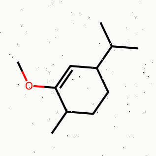 COC1=CC(C(C)C)CC[C]1C